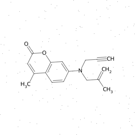 C#CCN(CC(=C)C)c1ccc2c(C)cc(=O)oc2c1